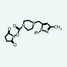 Cc1cc(CN2CCN(C(=O)ON3C(=O)CCC3=O)CC2)n(C(C)C)n1